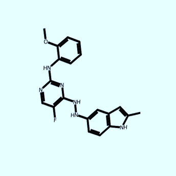 COc1ccccc1Nc1ncc(F)c(NNc2ccc3[nH]c(C)cc3c2)n1